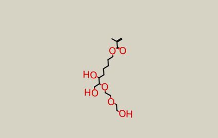 C=C(C)C(=O)OCCCCCC(O)C(CO)OCCOCCO